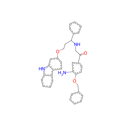 Nc1cc(C(=O)CNC(CCOc2ccc3c(c2)[nH]c2ccccc23)c2ccccc2)ccc1OCc1ccccc1